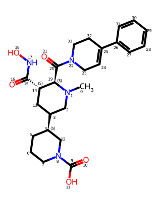 CN1CC([C@@H]2CCCN(C(=O)O)C2)C[C@H](C(=O)NO)[C@H]1C(=O)N1CC=C(c2ccccc2)CC1